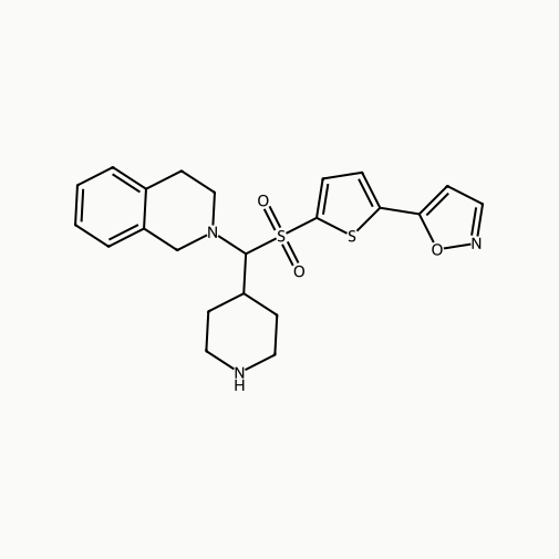 O=S(=O)(c1ccc(-c2ccno2)s1)C(C1CCNCC1)N1CCc2ccccc2C1